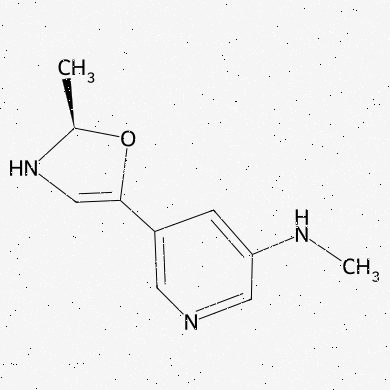 CNc1cncc(C2=CN[C@@H](C)O2)c1